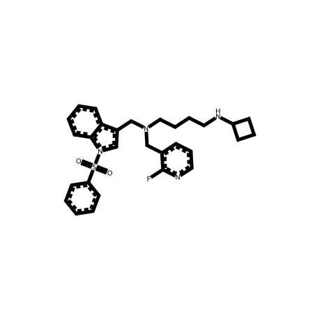 O=S(=O)(c1ccccc1)n1cc(CN(CCCCNC2CCC2)Cc2cccnc2F)c2ccccc21